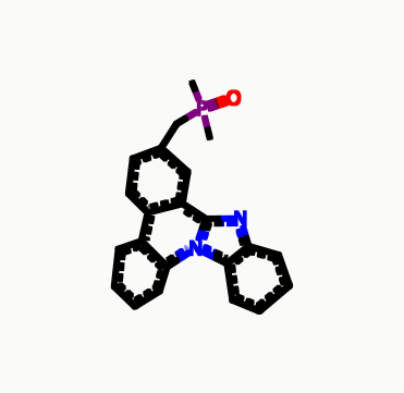 CP(C)(=O)Cc1ccc2c3ccccc3n3c4ccccc4nc3c2c1